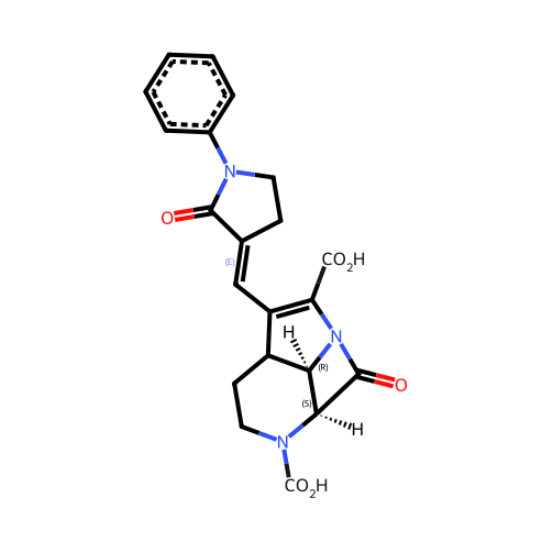 O=C(O)C1=C(/C=C2\CCN(c3ccccc3)C2=O)C2CCN(C(=O)O)[C@@H]3C(=O)N1[C@H]23